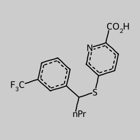 CCCC(Sc1ccc(C(=O)O)nc1)c1cccc(C(F)(F)F)c1